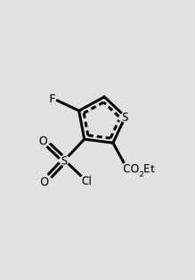 CCOC(=O)c1scc(F)c1S(=O)(=O)Cl